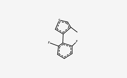 Cc1[c]scc1-c1c(F)cccc1F